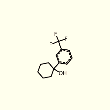 OC1(c2cccc(C(F)(F)F)c2)CCCCC1